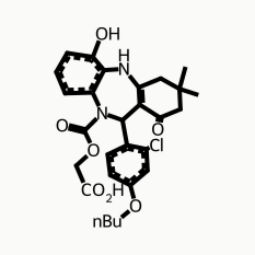 CCCCOc1ccc(C2C3=C(CC(C)(C)CC3=O)Nc3c(O)cccc3N2C(=O)OCC(=O)O)c(Cl)c1